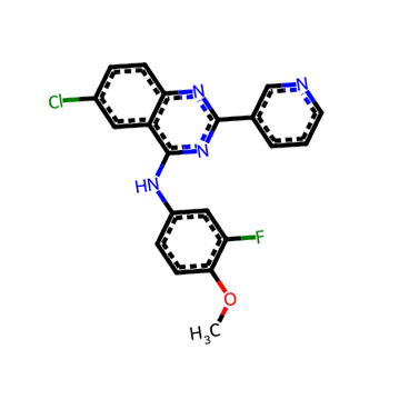 COc1ccc(Nc2nc(-c3cccnc3)nc3ccc(Cl)cc23)cc1F